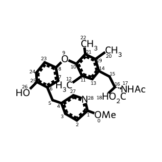 COc1ccc(Cc2cc(Oc3c(C)cc(C[C@H](NC(C)=O)C(=O)O)c(C)c3C)ccc2O)cn1